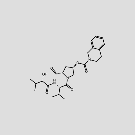 CC(C)[C@H](O)C(=O)N[C@H](C(=O)N1C[C@H](OC(=O)N2CCc3ccccc3C2)C[C@H]1C=O)C(C)C